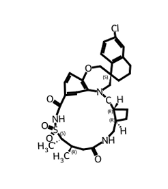 C[C@@H]1CC(=O)NC[C@@H]2CC[C@H]2CN2C[C@@]3(CCCc4cc(Cl)ccc43)COc3ccc(cc32)C(=O)NS(=O)(=O)[C@H]1C